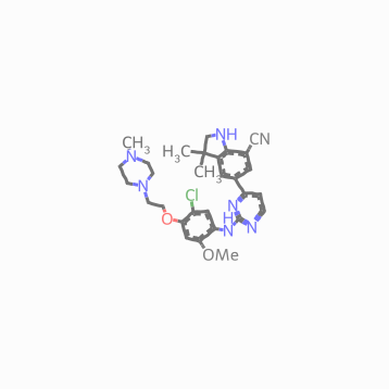 COc1cc(OCCN2CCN(C)CC2)c(Cl)cc1Nc1nccc(-c2cc(C#N)c3c(c2)C(C)(C)CN3)n1